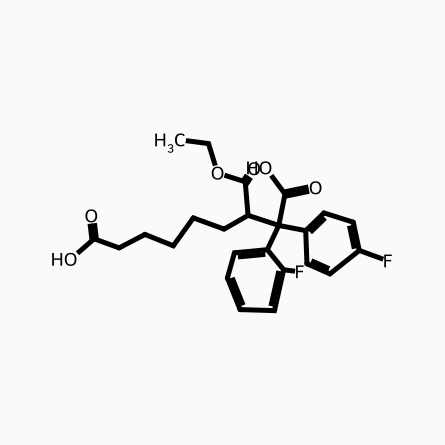 CCOC(=O)C(CCCCCC(=O)O)C(C(=O)O)(c1ccc(F)cc1)c1ccccc1F